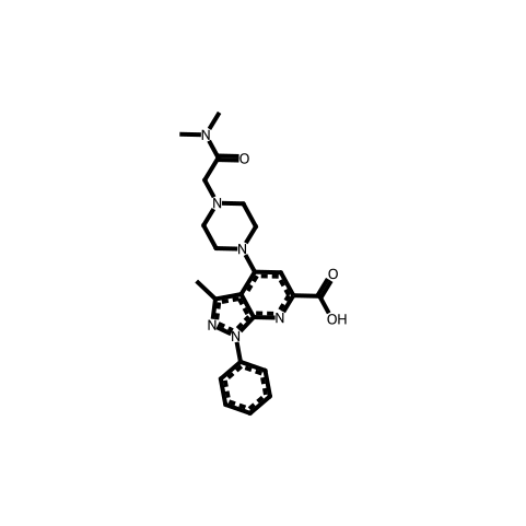 Cc1nn(-c2ccccc2)c2nc(C(=O)O)cc(N3CCN(CC(=O)N(C)C)CC3)c12